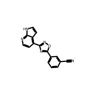 N#Cc1cccc(-c2nc(-c3ccnc4[nH]ccc34)no2)c1